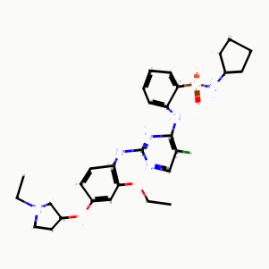 CCOc1cc(OC2CCN(CC)C2)ccc1Nc1ncc(Cl)c(Nc2ccccc2S(=O)(=O)NC2CCCC2)n1